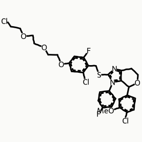 COc1cc(C2OCCc3nc(SCc4c(F)cc(OCCOCCOCCCl)cc4Cl)n(-c4ccc(F)cc4)c32)ccc1Cl